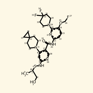 C[C@H](CO)SNc1cc(N2CCC3(CC2)CC3)c(C(=O)Nc2ccc(OCF)c(N3CCC(F)(F)CC3)n2)cn1